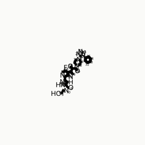 CN(CCO)C(=O)c1cc(-c2ncc(F)c3c(C(=O)C(=O)N4CCN(c5nnnn5-c5ccccc5)CC4)c[nH]c23)n[nH]1